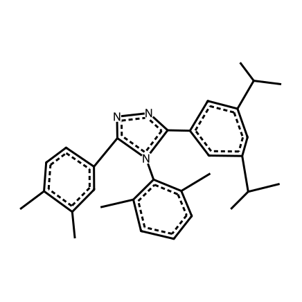 Cc1ccc(-c2nnc(-c3cc(C(C)C)cc(C(C)C)c3)n2-c2c(C)cccc2C)cc1C